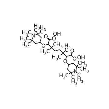 CN1C(C)(C)CC(OC(C(=O)OO)C(C)(C)CCC(C)(C)C(OC2CC(C)(C)N(C)C(C)(C)C2)C(=O)OO)CC1(C)C